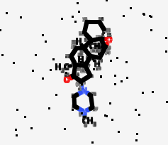 CN1CCN([C@H]2C[C@H]3[C@@H]4C[C@@H]5O[C@@]56CCCC[C@]6(C)[C@H]4CC[C@]3(C)C2=O)CC1